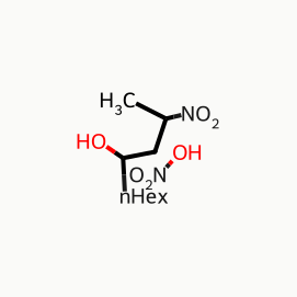 CCCCCCC(O)CC(C)[N+](=O)[O-].O=[N+]([O-])O